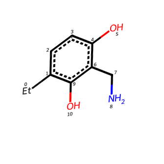 CCc1c[c]c(O)c(CN)c1O